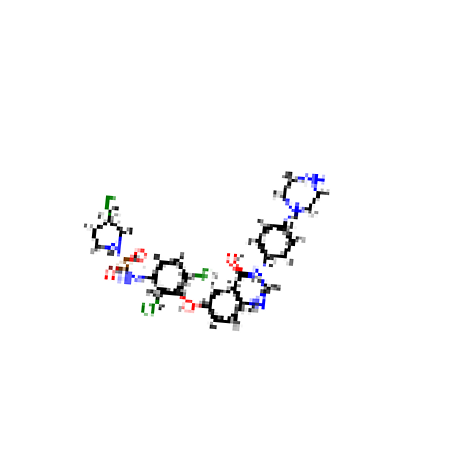 O=c1c2cc(Oc3c(F)ccc(NS(=O)(=O)N4CC[C@@H](F)C4)c3Cl)ccc2ncn1-c1ccc(N2CCNCC2)cc1